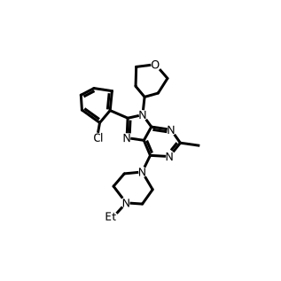 CCN1CCN(c2nc(C)nc3c2nc(-c2ccccc2Cl)n3C2CCOCC2)CC1